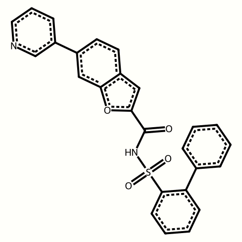 O=C(NS(=O)(=O)c1ccccc1-c1ccccc1)c1cc2ccc(-c3cccnc3)cc2o1